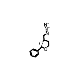 [N-]=[N+]=NCC1CCOC(c2ccccc2)O1